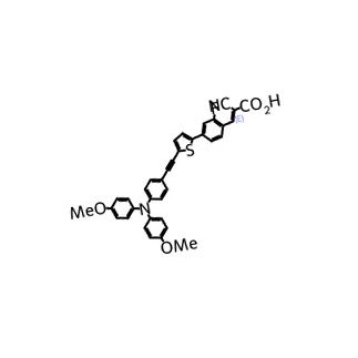 COc1ccc(N(c2ccc(C#Cc3ccc(-c4ccc(/C=C(\C#N)C(=O)O)c(F)c4)s3)cc2)c2ccc(OC)cc2)cc1